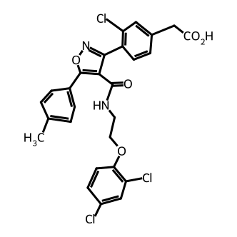 Cc1ccc(-c2onc(-c3ccc(CC(=O)O)cc3Cl)c2C(=O)NCCOc2ccc(Cl)cc2Cl)cc1